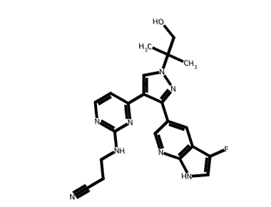 CC(C)(CO)n1cc(-c2ccnc(NCCC#N)n2)c(-c2cnc3[nH]cc(F)c3c2)n1